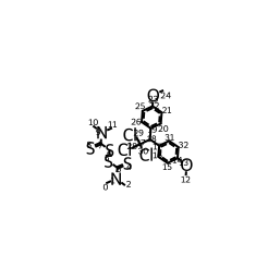 CN(C)C(=S)SSC(=S)N(C)C.COc1ccc(C(c2ccc(OC)cc2)C(Cl)(Cl)Cl)cc1